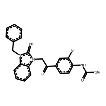 CC(C)(C)C(=O)Nc1ccc(C(=O)Cn2c(=N)n(Cc3ccccc3)c3ccccc32)cc1Br